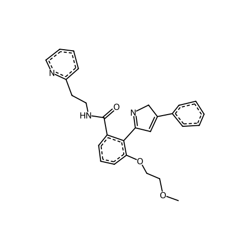 COCCOc1cccc(C(=O)NCCc2ccccn2)c1C1=NCC(c2ccccc2)=C1